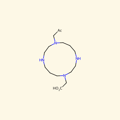 CC(=O)CN1CCCNCCN(CC(=O)O)CCCNCC1